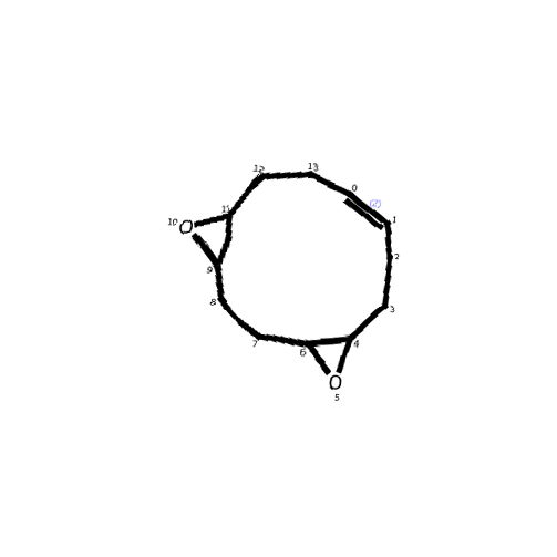 C1=C\CCC2OC2CCC2OC2CC/1